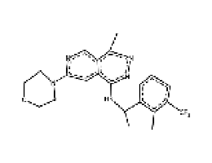 Cc1c(C(C)Nc2nnc(C)c3cnc(N4CCOCC4)cc23)cccc1C(F)(F)F